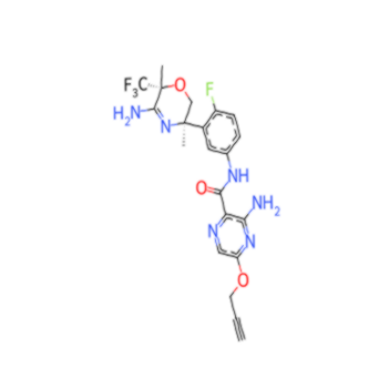 C#CCOc1cnc(C(=O)Nc2ccc(F)c([C@]3(C)CO[C@@](C)(C(F)(F)F)C(N)=N3)c2)c(N)n1